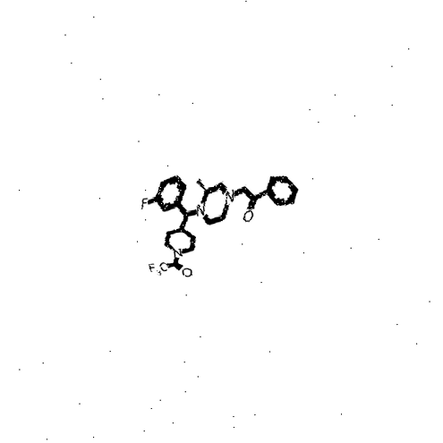 C[C@H]1CN(CC(=O)c2ccccc2)CCN1C(c1cccc(F)c1)C1CCN(C(=O)C(F)(F)F)CC1